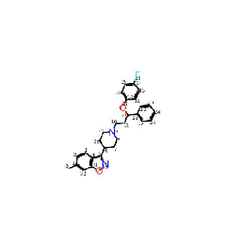 Cc1ccc2c(C3CCN(CCC(Oc4ccc(F)cc4)c4ccccc4)CC3)noc2c1